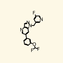 Fc1cncc(Cn2ncc3ncc(-c4cccc(OC(F)F)c4)cc32)c1